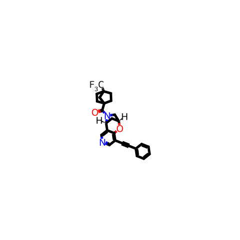 O=C(N1C[C@@H]2C[C@H]1c1cncc(C#Cc3ccccc3)c1O2)C12CCC(C(F)(F)F)(CC1)C2